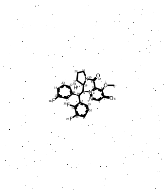 [CH2]Oc1c2n(ncc1=O)[C@@H]([C@H](c1cccc(F)c1)c1cccc(F)c1F)[C@H]1CCCN1C2=O